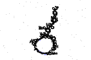 CO[C@H]1C[C@@H]2CC[C@@H](C)[C@@](O)(O2)C(=O)C(=O)N2CCCC[C@H]2C(=O)O[C@H]([C@H](N)C[C@@H]2CC[C@@H](OC(=O)NCc3cnc(N4CCN(C(=O)CN(C)C)CC4)nc3)[C@H](OC)C2)C[C@@H](OC)[C@H](C)/C=C(\C)[C@@H](O)[C@@H](O)C(=O)[C@H](C)C[C@H](C)/C=C/C=C/C=C/1C